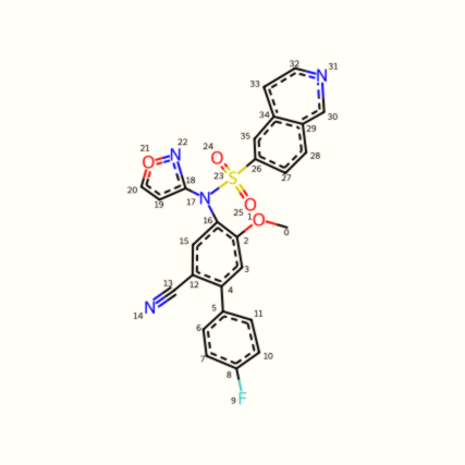 COc1cc(-c2ccc(F)cc2)c(C#N)cc1N(c1ccon1)S(=O)(=O)c1ccc2cnccc2c1